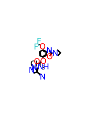 Cn1ncc(C#N)c1NC(=O)Oc1ccc(OC(F)F)c2nc(N3CCC3)oc12